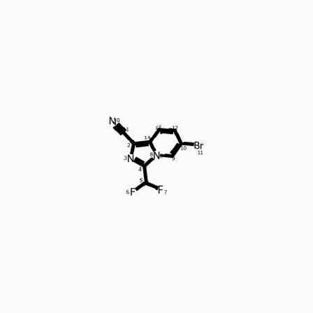 N#Cc1nc(C(F)F)n2cc(Br)ccc12